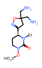 CCN1C(=O)N(OS(=O)(=O)O)CC[C@H]1C1=NOC(CN)(CN)C1